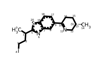 CC(CCI)c1nc2cc(C3=NC[C@@H](C)CC3)ccc2s1